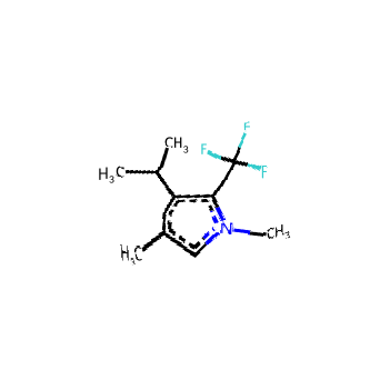 Cc1cn(C)c(C(F)(F)F)c1C(C)C